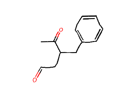 CC(=O)C(CC=O)Cc1ccccc1